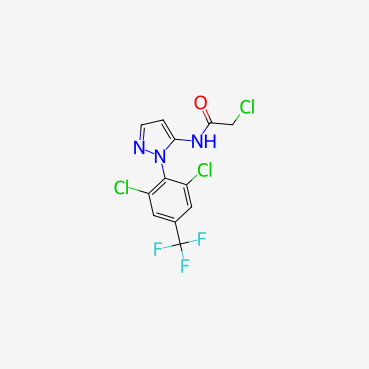 O=C(CCl)Nc1ccnn1-c1c(Cl)cc(C(F)(F)F)cc1Cl